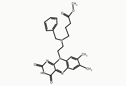 COC(=O)CCCN(CCn1c2nc(=O)[nH]c(=O)c-2nc2cc(C)c(C)cc21)Cc1ccccc1